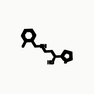 Cc1ccccc1CNCC[C@H](O)c1cccs1